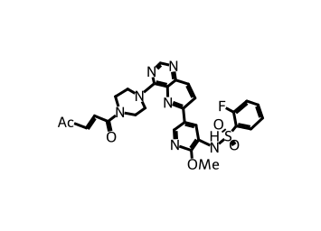 COc1ncc(-c2ccc3ncnc(N4CCN(C(=O)/C=C/C(C)=O)CC4)c3n2)cc1NS(=O)(=O)c1ccccc1F